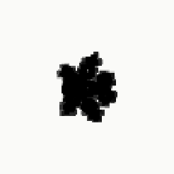 CC(C)(C)c1ccc(N2c3cc(C(C)(C)C)cc4c3P3(=O)c5c(cc(C(C)(C)C)cc5N(c5ccc(C(C)(C)C)cc5)c5cc(-n6c7ccccc7c7ccccc76)cc2c53)O4)cc1